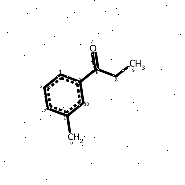 [CH2]c1cccc(C(=O)CC)c1